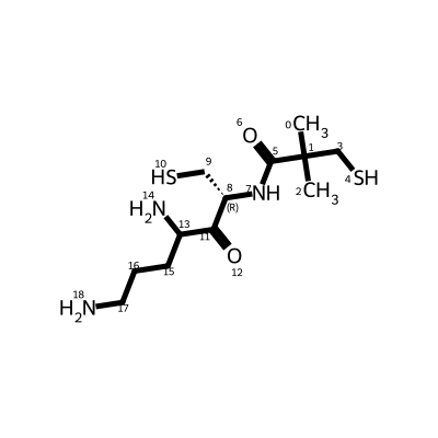 CC(C)(CS)C(=O)N[C@@H](CS)C(=O)C(N)CCCN